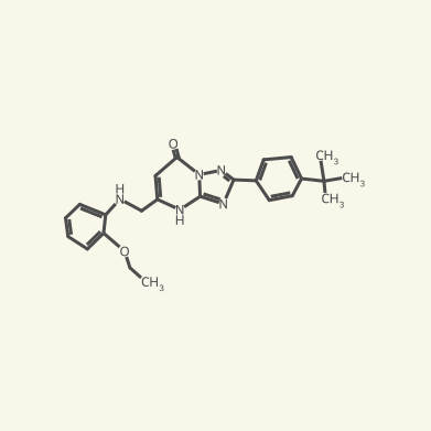 CCOc1ccccc1NCc1cc(=O)n2nc(-c3ccc(C(C)(C)C)cc3)nc2[nH]1